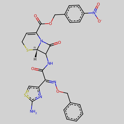 Nc1nc(C(=NOCc2ccccc2)C(=O)NC2C(=O)N3C(C(=O)OCc4ccc([N+](=O)[O-])cc4)=CCS[C@@H]23)cs1